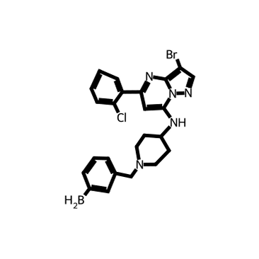 Bc1cccc(CN2CCC(Nc3cc(-c4ccccc4Cl)nc4c(Br)cnn34)CC2)c1